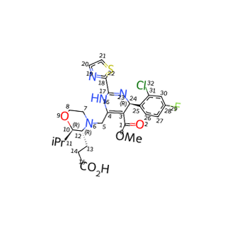 COC(=O)C1=C(CN2CCO[C@H](C(C)C)[C@H]2CCC(=O)O)NC(c2nccs2)=N[C@H]1c1ccc(F)cc1Cl